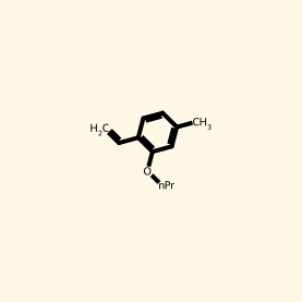 C=Cc1ccc(C)cc1OCCC